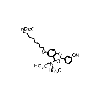 CCCCCCCCCCCCCCCCCCOc1ccc(OCc2cccc(O)c2)c(C(=O)N(CC(=O)O)CC(=O)O)c1